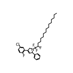 CCCCCCCCCCCCCCC(F)C(F)(F)N1CC(c2cc(Cl)ccc2F)=CC1c1ccccc1